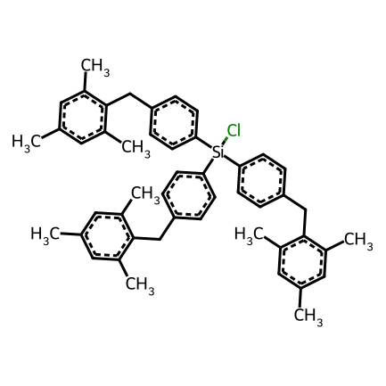 Cc1cc(C)c(Cc2ccc([Si](Cl)(c3ccc(Cc4c(C)cc(C)cc4C)cc3)c3ccc(Cc4c(C)cc(C)cc4C)cc3)cc2)c(C)c1